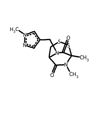 CN1C(=O)C2CSSC1(C)C(=O)N2Cc1cnn(C)c1